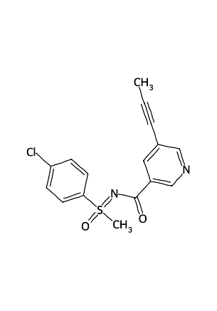 CC#Cc1cncc(C(=O)N=S(C)(=O)c2ccc(Cl)cc2)c1